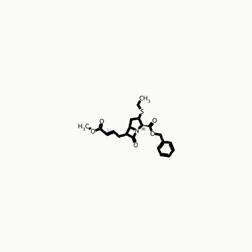 CCSC1CC2C(C/C=C/C(=O)OC)C(=O)N2[C@@H]1C(=O)OCc1ccccc1